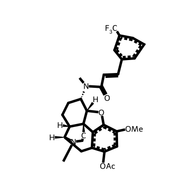 COc1cc(OC(C)=O)c2c3c1O[C@H]1[C@@H](N(C)C(=O)C=Cc4cccc(C(F)(F)F)c4)CC[C@H]4[C@@H](C2)N(C)CC[C@@]341